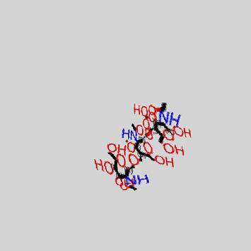 CO[C@@H]1C(NC(C)=O)[C@H](COC[C@@H]2C(CO)O[C@@H](O)C(NC(C)=O)[C@H]2OC(=O)O)OC(CO)[C@H]1COC[C@@H]1OC(CO)[C@@H](O)[C@H](O)C1NC(C)=O